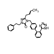 CC=CCc1nn(CCc2ccccc2)c(=O)n1Cc1ccc(-c2ccccc2-c2nnn[nH]2)cc1